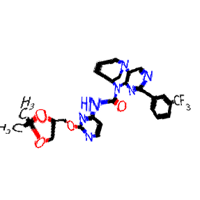 CC1(C)OC[C@H](COc2nccc(NC(=O)N3c4nc(-c5cccc(C(F)(F)F)c5)ncc4N4CCCC3C4)n2)O1